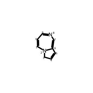 C1=CN2CC=CC2=CN=C1